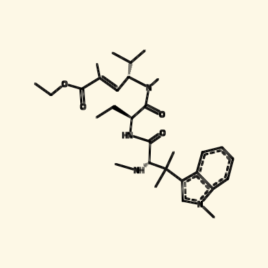 CCOC(=O)/C(C)=C/[C@H](C(C)C)N(C)C(=O)[C@H](CC)NC(=O)[C@@H](NC)C(C)(C)c1cn(C)c2ccccc12